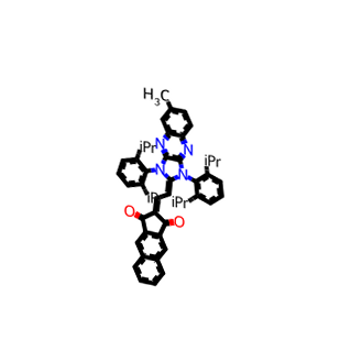 Cc1ccc2nc3c(nc2c1)N(c1c(C(C)C)cccc1C(C)C)/C(=C\C=C1C(=O)c2cc4ccccc4cc2C1=O)N3c1c(C(C)C)cccc1C(C)C